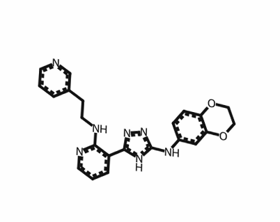 c1cncc(CCNc2ncccc2-c2nnc(Nc3ccc4c(c3)OCCO4)[nH]2)c1